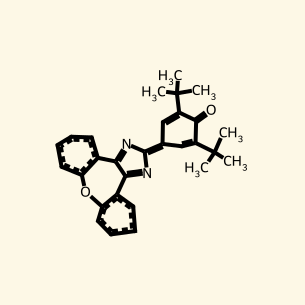 CC(C)(C)C1=CC(=C2N=C3C(=N2)c2ccccc2Oc2ccccc23)C=C(C(C)(C)C)C1=O